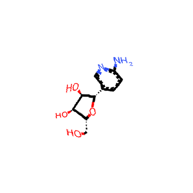 Nc1ccc([C@@H]2O[C@H](CO)[C@@H](O)[C@H]2O)cn1